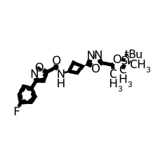 CC(O[Si](C)(C)C(C)(C)C)c1nnc([C@H]2C[C@H](NC(=O)c3cc(-c4ccc(F)cc4)no3)C2)o1